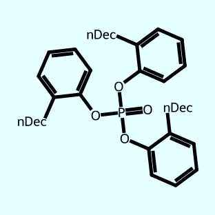 CCCCCCCCCCc1ccccc1OP(=O)(Oc1ccccc1CCCCCCCCCC)Oc1ccccc1CCCCCCCCCC